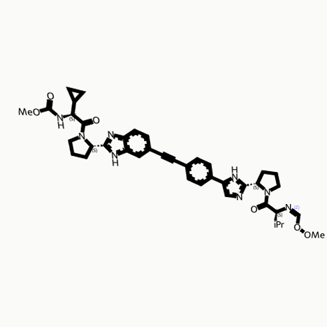 COO/C=N\[C@H](C(=O)N1CCC[C@H]1c1ncc(-c2ccc(C#Cc3ccc4nc([C@@H]5CCCN5C(=O)[C@@H](NC(=O)OC)C5CC5)[nH]c4c3)cc2)[nH]1)C(C)C